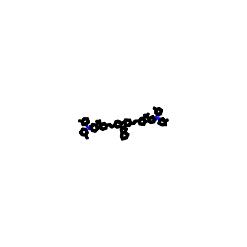 Cc1cccc(N(c2cccc(C)c2)c2ccc3c(c2)C(C)(C)C2=CC(/C=C/c4ccc5c(c4)C4(Cc6ccccc6C4)c4cc(/C=C/c6ccc7c(c6)C(C)(C)c6cc(N(c8cccc(C)c8)c8cccc(C)c8)ccc6-7)ccc4-5)CC=C23)c1